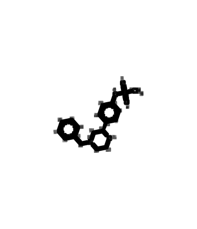 CS(=O)(=O)Oc1ccc([C@@H]2CN(Cc3ccccc3)CCO2)cc1